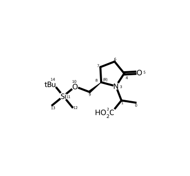 CC(C(=O)O)N1C(=O)CC[C@@H]1CO[Si](C)(C)C(C)(C)C